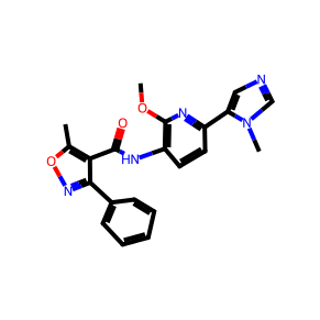 COc1nc(-c2cncn2C)ccc1NC(=O)c1c(-c2ccccc2)noc1C